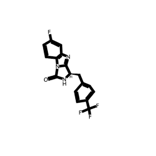 O=C1N[C@H](Cc2ccc(C(F)(F)F)cc2)c2nc3cc(F)ccc3n21